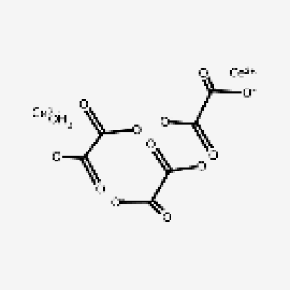 O.O=C([O-])C(=O)[O-].O=C([O-])C(=O)[O-].O=C([O-])C(=O)[O-].[Ce+3].[Ce+3]